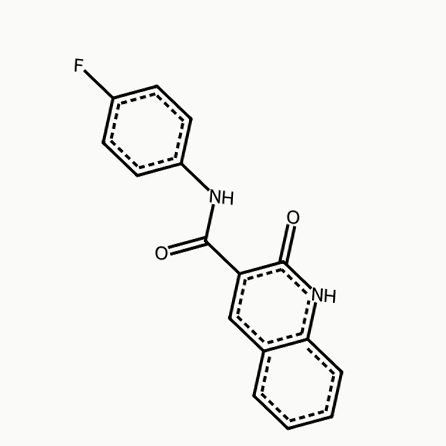 O=C(Nc1ccc(F)cc1)c1cc2ccccc2[nH]c1=O